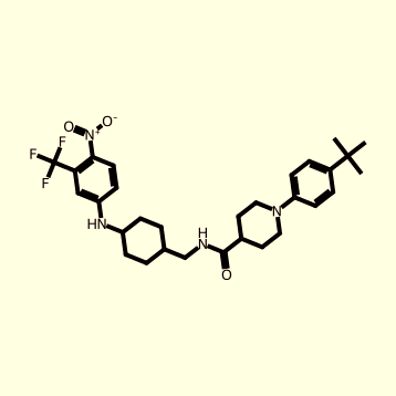 CC(C)(C)c1ccc(N2CCC(C(=O)NCC3CCC(Nc4ccc([N+](=O)[O-])c(C(F)(F)F)c4)CC3)CC2)cc1